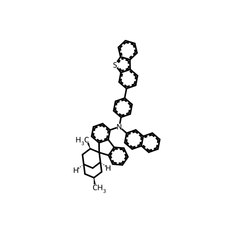 C[C@H]1C[C@@H]2C[C@H](C1)C1(c3ccccc3-c3c(N(c4ccc(-c5ccc6c(c5)sc5ccccc56)cc4)c4ccc5ccccc5c4)cccc31)[C@H](C)C2